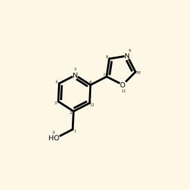 OCc1ccnc(-c2cnco2)c1